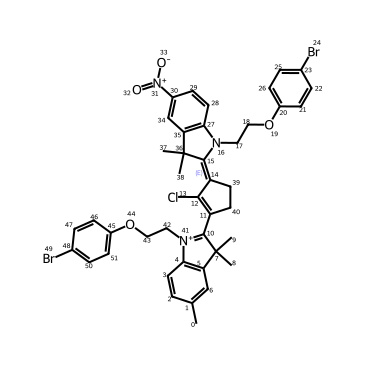 Cc1ccc2c(c1)C(C)(C)C(C1=C(Cl)/C(=C3/N(CCOc4ccc(Br)cc4)c4ccc([N+](=O)[O-])cc4C3(C)C)CC1)=[N+]2CCOc1ccc(Br)cc1